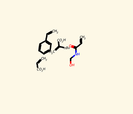 C=C(CCCC)C(=O)O.C=CC(=O)NCO.C=CC(=O)O.C=Cc1ccccc1